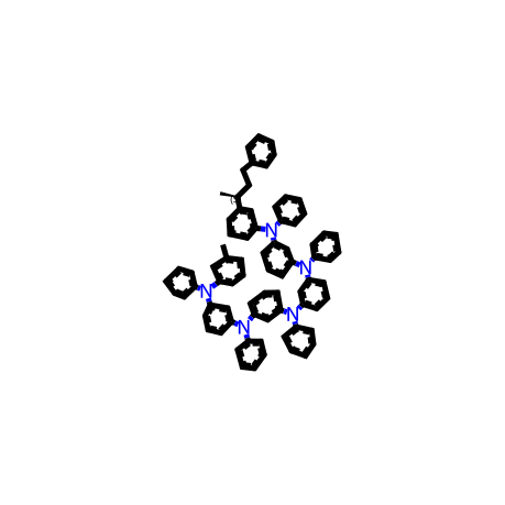 Cc1cccc(N(c2ccccc2)c2cccc(N(c3ccccc3)c3cccc(N(c4ccccc4)c4cccc(N(c5ccccc5)c5cccc(N(c6ccccc6)c6cccc([C@@H](C)CCc7ccccc7)c6)c5)c4)c3)c2)c1